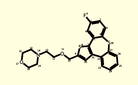 Fc1ccc2c(c1)-c1sc(COCCN3CCOCC3)cc1-c1ccccc1S2